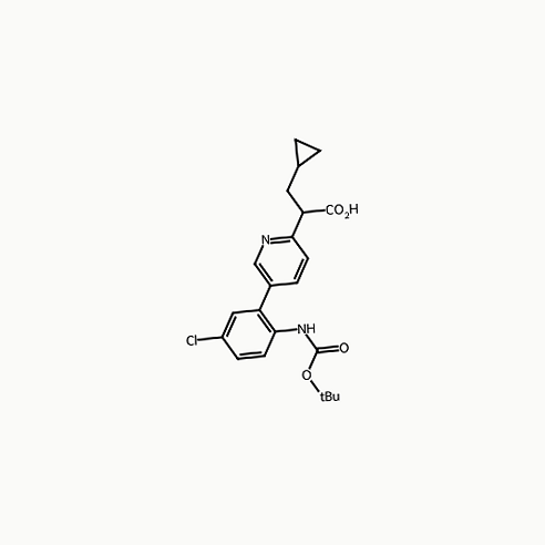 CC(C)(C)OC(=O)Nc1ccc(Cl)cc1-c1ccc(C(CC2CC2)C(=O)O)nc1